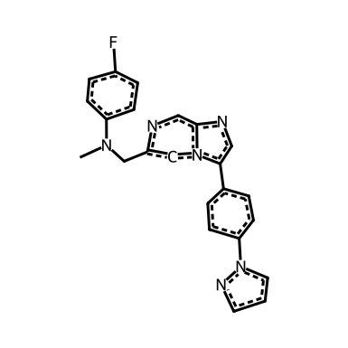 CN(Cc1cn2c(-c3ccc(-n4cccn4)cc3)cnc2cn1)c1ccc(F)cc1